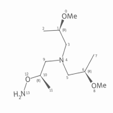 CO[C@H](C)CN(C[C@@H](C)OC)C[C@@H](C)ON